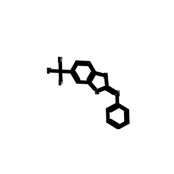 FC(F)(F)c1ccc2sc(=Nc3ccccc3)sc2c1